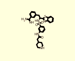 N=C(N)c1cccc(CC(NS(=O)(=O)c2cccc(NC(=O)CC3CCNCC3)c2)c2nc3ccccc3s2)c1